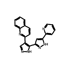 [c]1n[nH]c(-c2cc(-c3ccccn3)[nH]n2)c1-c1ccc2ccccc2n1